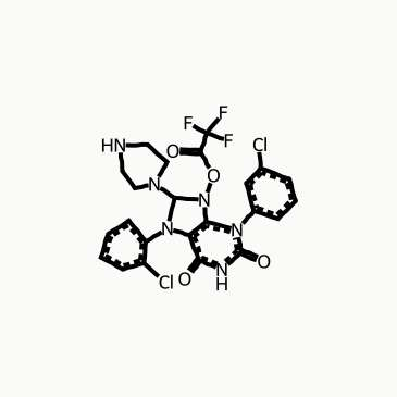 O=C(ON1c2c(c(=O)[nH]c(=O)n2-c2cccc(Cl)c2)N(c2ccccc2Cl)C1N1CCNCC1)C(F)(F)F